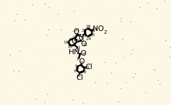 O=C(COc1ccc(Cl)cc1Cl)NCC12C=CC(O1)C1C(=O)N(c3ccc([N+](=O)[O-])cc3)C(=O)C12